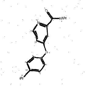 CNC(=O)c1cc(Oc2ccc(C(C)C)cc2)ccn1